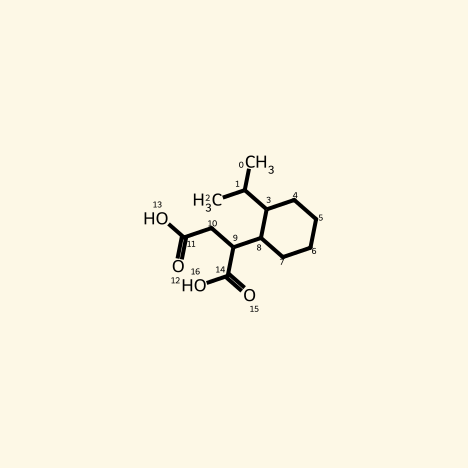 CC(C)C1CCCCC1C(CC(=O)O)C(=O)O